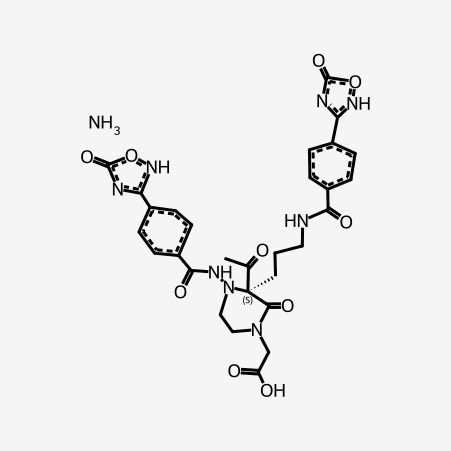 CC(=O)[C@@]1(CCCNC(=O)c2ccc(-c3nc(=O)o[nH]3)cc2)C(=O)N(CC(=O)O)CCN1NC(=O)c1ccc(-c2nc(=O)o[nH]2)cc1.N